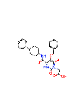 O=C(O)Cn1c(=O)[nH]c(C(=O)NC2CCC(c3ccccc3)CC2)c(OCc2ccccc2)c1=O